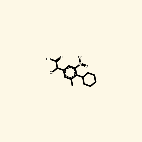 Cc1cc(C(Cl)C(=O)O)cc([N+](=O)[O-])c1C1CCCCC1